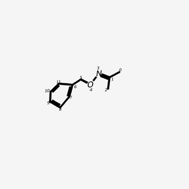 CC(C)=NOCc1ccccc1